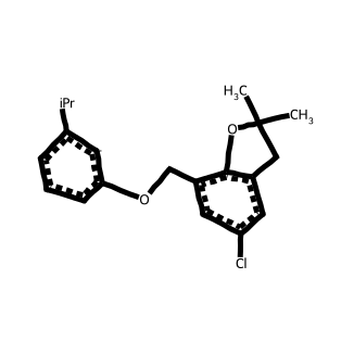 CC(C)c1[c]c(OCc2cc(Cl)cc3c2OC(C)(C)C3)ccc1